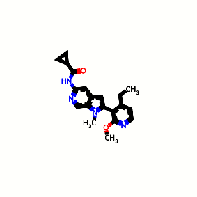 CCc1ccnc(OC)c1-c1cc2cc(NC(=O)C3CC3)ncc2n1C